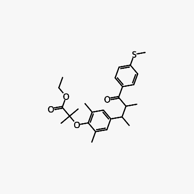 CCOC(=O)C(C)(C)Oc1c(C)cc(C(C)C(C)C(=O)c2ccc(SC)cc2)cc1C